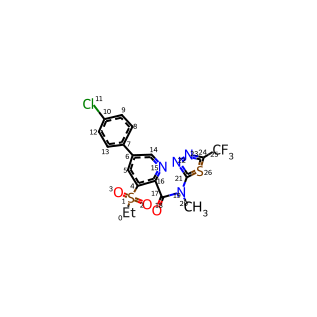 CCS(=O)(=O)c1cc(-c2ccc(Cl)cc2)cnc1C(=O)N(C)c1nnc(C(F)(F)F)s1